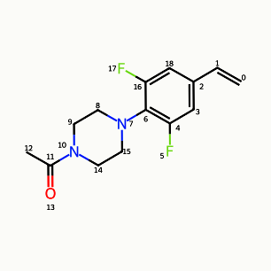 C=Cc1cc(F)c(N2CCN(C(C)=O)CC2)c(F)c1